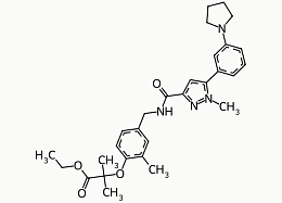 CCOC(=O)C(C)(C)Oc1ccc(CNC(=O)c2cc(-c3cccc(N4CCCC4)c3)n(C)n2)cc1C